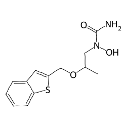 CC(CN(O)C(N)=O)OCc1cc2ccccc2s1